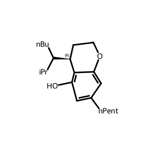 CCCCCc1cc(O)c2c(c1)OCC[C@@H]2C(CCCC)C(C)C